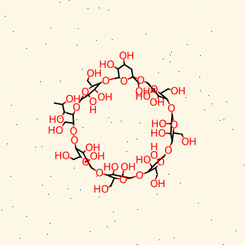 CC(O)C(O)C1OC2OC(CO)C(OC3OC(CO)(CC(O)C3O)OC3OC(CO)C(OC4OC(CO)C(OC5OC(CO)C(OC6OC(CO)C(OC7OC(CO)C(OOC1CO)C(O)C7O)C(O)C6O)C(O)C5O)C(O)C4O)C(O)C3O)C(O)C2O